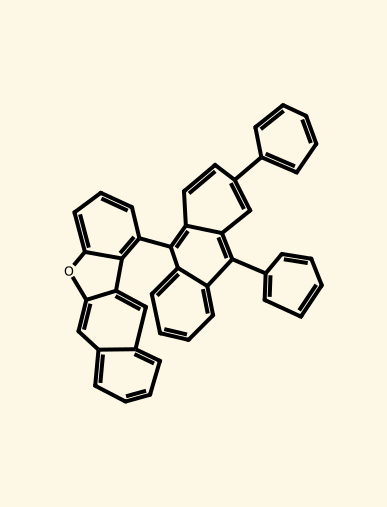 c1ccc(-c2ccc3c(-c4cccc5oc6cc7ccccc7cc6c45)c4ccccc4c(-c4ccccc4)c3c2)cc1